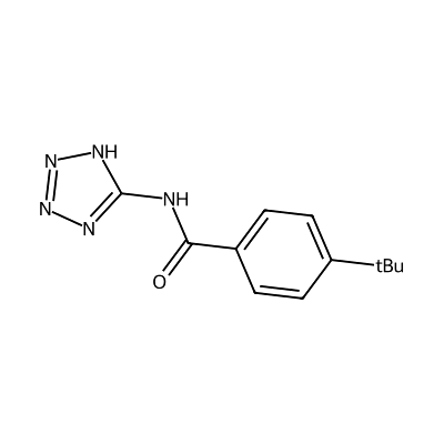 CC(C)(C)c1ccc(C(=O)Nc2nnn[nH]2)cc1